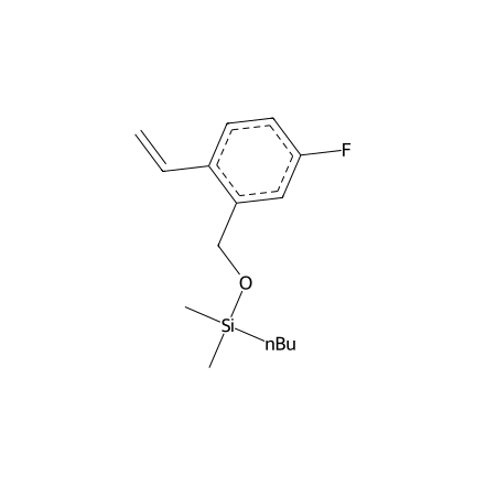 C=Cc1ccc(F)cc1CO[Si](C)(C)CCCC